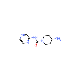 NC1CCN(C(=O)Nc2cnccn2)CC1